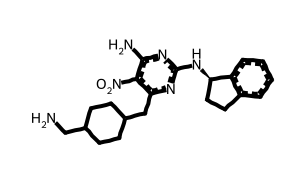 NCC1CCC(Cc2nc(N[C@@H]3CCc4ccccc43)nc(N)c2[N+](=O)[O-])CC1